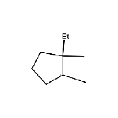 CCC1(C)CCC[C]1C